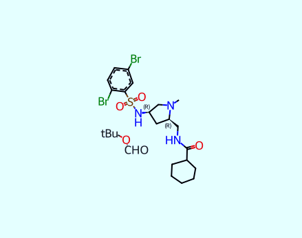 CC(C)(C)OC=O.CN1C[C@H](NS(=O)(=O)c2cc(Br)ccc2Br)C[C@@H]1CNC(=O)C1CCCCC1